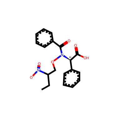 CCC(CON(C(=O)c1ccccc1)[C@@H](C(=O)O)c1ccccc1)[N+](=O)[O-]